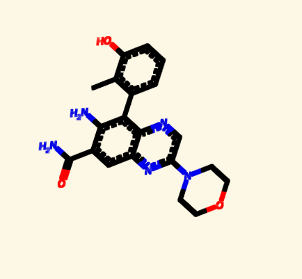 Cc1c(O)cccc1-c1c(N)c(C(N)=O)cc2nc(N3CCOCC3)cnc12